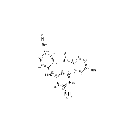 COc1ccc(Br)cc1-c1cc(Nc2ccc(C#N)cc2)nc(N)n1